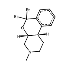 CCC1(CC)O[C@H]2CN(C)CC[C@H]2c2ccccc21